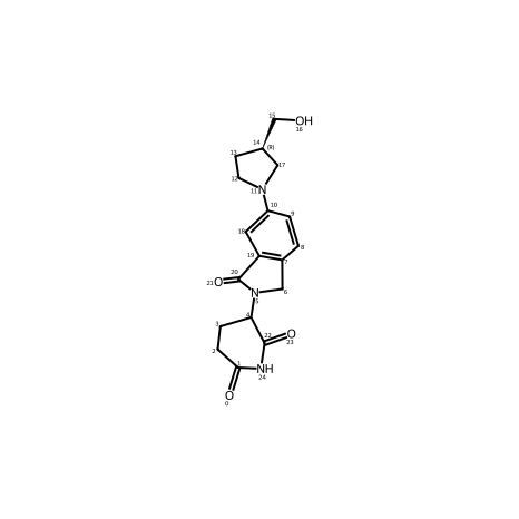 O=C1CCC(N2Cc3ccc(N4CC[C@@H](CO)C4)cc3C2=O)C(=O)N1